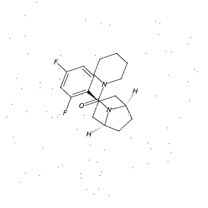 O=C(N1CCCCC1)N1[C@@H]2CC[C@H]1C[C@@H](c1ccc(F)cc1F)C2